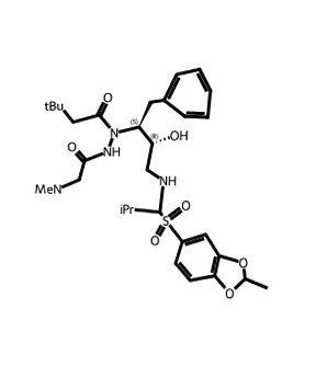 CNCC(=O)NN(C(=O)CC(C)(C)C)[C@@H](Cc1ccccc1)[C@H](O)CNC(C(C)C)S(=O)(=O)c1ccc2c(c1)OC(C)O2